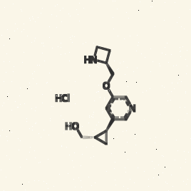 Cl.OC[C@H]1C[C@@H]1c1cncc(OC[C@@H]2CCN2)c1